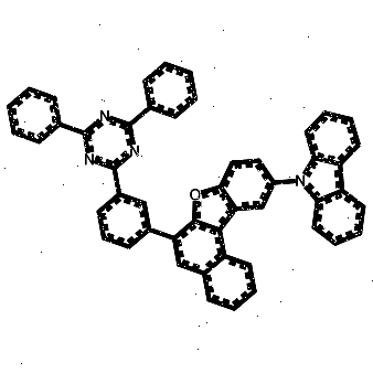 c1ccc(-c2nc(-c3ccccc3)nc(-c3cccc(-c4cc5ccccc5c5c4oc4ccc(-n6c7ccccc7c7ccccc76)cc45)c3)n2)cc1